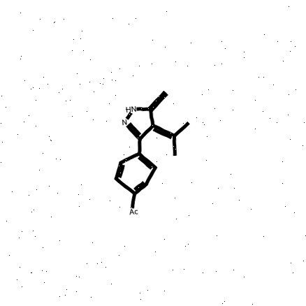 C=c1[nH]nc(-c2ccc(C(C)=O)cc2)c1=C(C)C